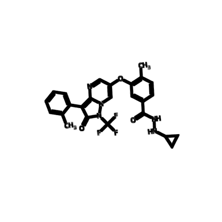 Cc1ccc(C(=O)NNC2CC2)cc1Oc1cnc2c(-c3ccccc3C)c(=O)n(C(F)(F)F)n2c1